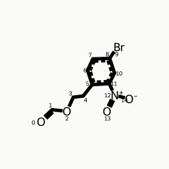 O=COCCc1ccc(Br)cc1[N+](=O)[O-]